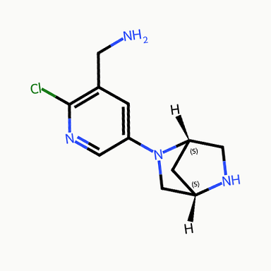 NCc1cc(N2C[C@@H]3C[C@H]2CN3)cnc1Cl